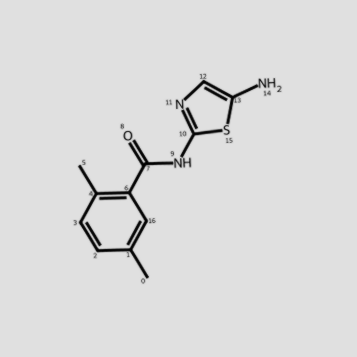 Cc1ccc(C)c(C(=O)Nc2ncc(N)s2)c1